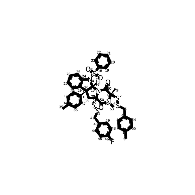 Cc1ccc(CSS[C@@]2(C)C(=O)N3[C@H]4N(S(=O)(=O)c5ccccc5)c5ccccc5[C@@]4(c4ccc(C)cc4)C[C@]3(SSCc3ccc(F)cc3)C(=O)N2C)cc1